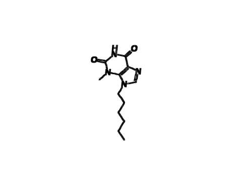 CCCCCCn1cnc2c(=O)[nH]c(=O)n(C)c21